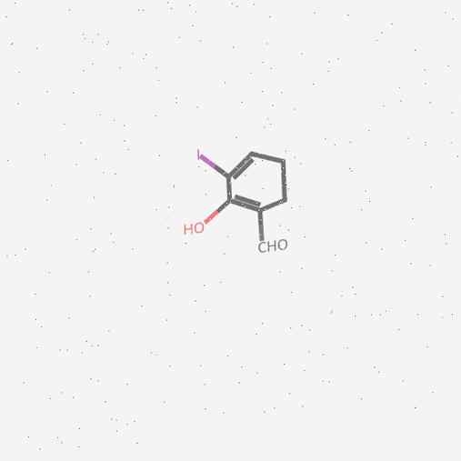 O=CC1=C(O)C(I)=CCC1